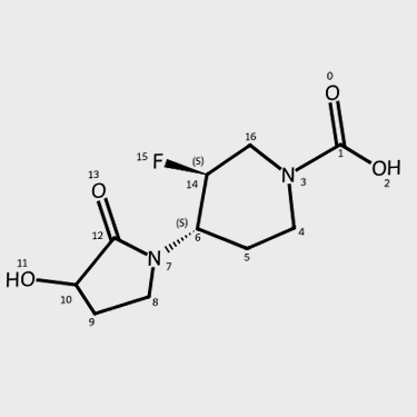 O=C(O)N1CC[C@H](N2CCC(O)C2=O)[C@@H](F)C1